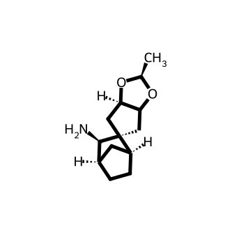 C[C@H]1OC2C[C@]3(C[C@H]2O1)[C@H]1CC[C@H](C1)[C@H]3N